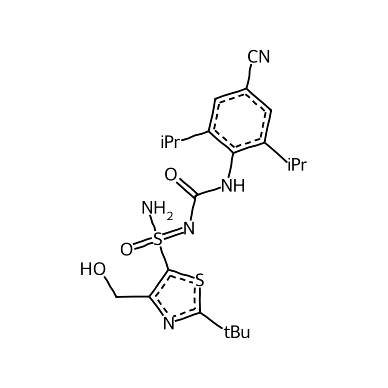 CC(C)c1cc(C#N)cc(C(C)C)c1NC(=O)N=S(N)(=O)c1sc(C(C)(C)C)nc1CO